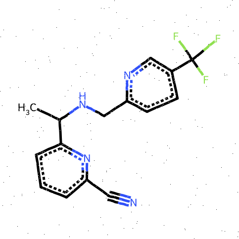 CC(NCc1ccc(C(F)(F)F)cn1)c1cccc(C#N)n1